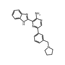 Nc1ncc(-c2cccc(CN3CCCC3)c2)nc1-c1nc2ccccc2[nH]1